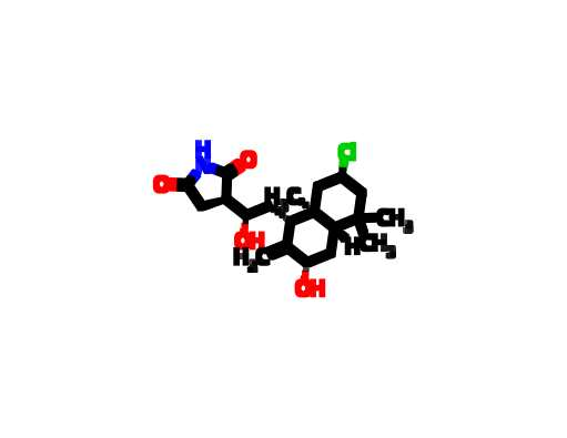 C=C1[C@@H](O)C[C@H]2C(C)(C)C[C@H](Cl)C[C@]2(C)[C@H]1C[C@H](O)[C@H]1CC(=O)NC1=O